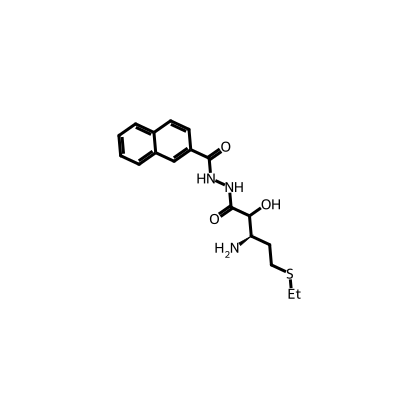 CCSCC[C@@H](N)C(O)C(=O)NNC(=O)c1ccc2ccccc2c1